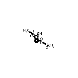 CCCC(=O)N[C@H]1Cc2cccc(C(=O)OCCOC(C)=O)c2OB1O